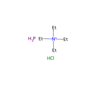 CC[N+](CC)(CC)CC.Cl.P